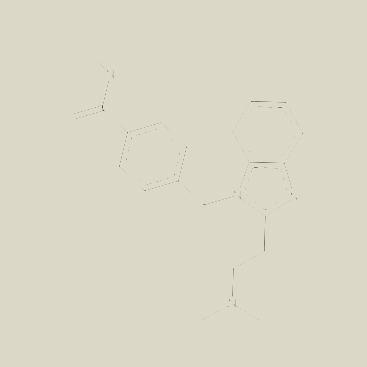 CN(C)CCc1nc2ccccc2n1Cc1ccc(C(=O)NO)cc1